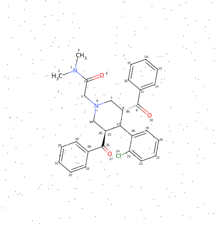 CN(C)C(=O)CN1C[C@H](C(=O)c2ccccc2)C(c2ccccc2Cl)[C@@H](C(=O)c2ccccc2)C1